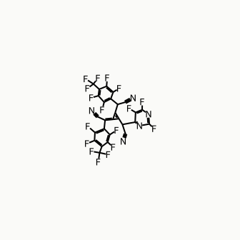 N#CC(=C1C(C(C#N)c2nc(F)nc(F)c2F)=C1C(C#N)c1c(F)c(F)c(C(F)(F)F)c(F)c1F)c1c(F)c(F)c(C(F)(F)F)c(F)c1F